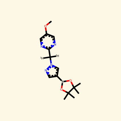 [2H]C([2H])(c1ncc(OC)cn1)n1cc(B2OC(C)(C)C(C)(C)O2)cn1